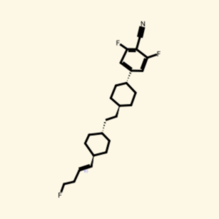 N#Cc1c(F)cc([C@H]2CC[C@H](CC[C@H]3CC[C@H](/C=C/CCF)CC3)CC2)cc1F